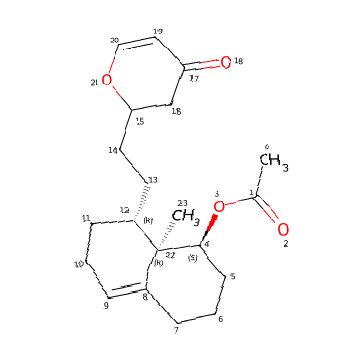 CC(=O)O[C@H]1CCCC2=CCC[C@H](CCC3CC(=O)C=CO3)[C@]21C